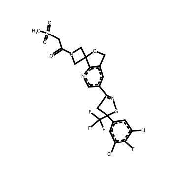 CS(=O)(=O)CC(=O)N1CC2(C1)OCc1cc(C3=NSC(c4cc(Cl)c(F)c(Cl)c4)(C(F)(F)F)C3)cnc12